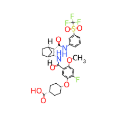 COc1cc(F)c(O[C@H]2CC[C@@H](C(=O)O)CC2)cc1C(=O)N[C@@H]1[C@H]2CC[C@H](C2)[C@@H]1C(=O)Nc1cccc(S(=O)(=O)C(F)(F)F)c1